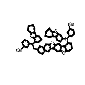 CC(C)(C)c1cccc(C(Cc2ccc3cc4c(cc3c2)oc2cc3c(cc24)oc2cccc(N(c4cccc(C(C)(C)C)c4)c4ccc5c(c4)sc4ccccc45)c23)c2cccc3c2sc2ccccc23)c1